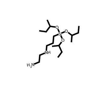 CCC(C)O[Si](CCCNCCN)(OC(C)CC)OC(C)CC